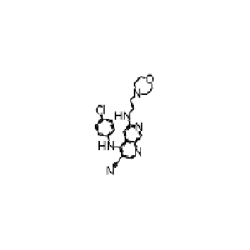 N#Cc1cnc2cnc(NCCN3CCOCC3)cc2c1Nc1ccc(Cl)cc1